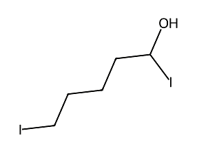 OC(I)CCCCI